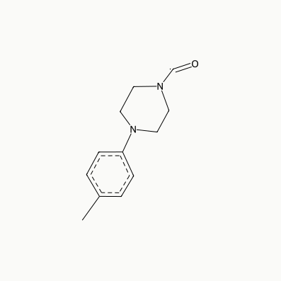 Cc1ccc(N2CCN([C]=O)CC2)cc1